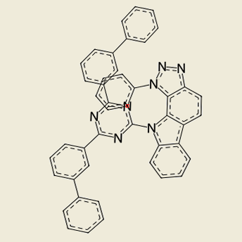 c1ccc(-c2cccc(-c3nc(-c4cccc(-c5ccccc5)c4)nc(-n4c5ccccc5c5ccc6nnn(-c7ccccc7)c6c54)n3)c2)cc1